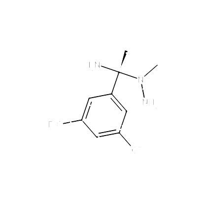 CN(N)[C@@](C)(N)c1cc(C(F)(F)F)cc(C(F)(F)F)c1